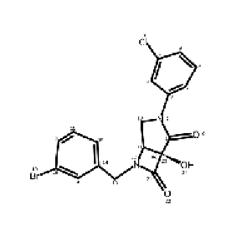 O=C1N(c2cccc(Cl)c2)CC2N(Cc3cccc(Br)c3)C(=O)[C@@]12O